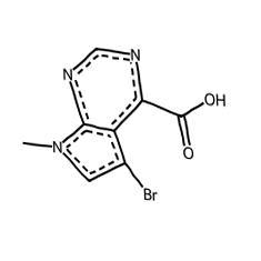 Cn1cc(Br)c2c(C(=O)O)ncnc21